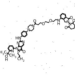 C=CCn1c(=O)c2cnc(Nc3ccc(N4CCN(C(=O)CCOCCOCCNc5cccc6c5CN(N5C(=O)CCCC5=O)C6=O)CC4)cc3)nc2n1-c1cccc(C(C)(C)O)n1